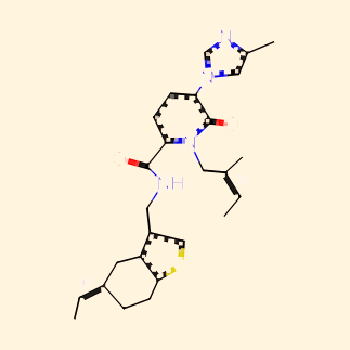 C/C=C(/C)Cn1c(C(=O)NCc2csc3c2C/C(=C/C)CC3)ccc(-n2cnc(C)c2)c1=O